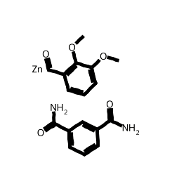 COc1cccc(C=O)c1OC.NC(=O)c1cccc(C(N)=O)c1.[Zn]